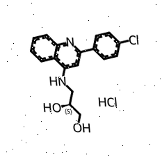 Cl.OC[C@@H](O)CNc1cc(-c2ccc(Cl)cc2)nc2ccccc12